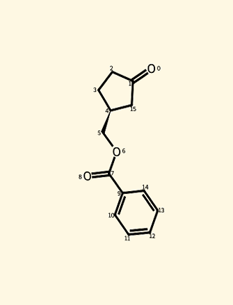 O=C1CC[C@H](COC(=O)c2ccccc2)C1